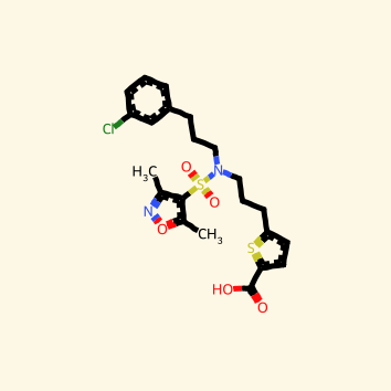 Cc1noc(C)c1S(=O)(=O)N(CCCc1cccc(Cl)c1)CCCc1ccc(C(=O)O)s1